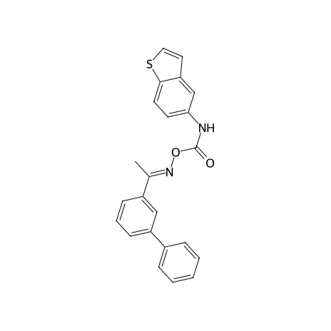 C/C(=N\OC(=O)Nc1ccc2sccc2c1)c1cccc(-c2ccccc2)c1